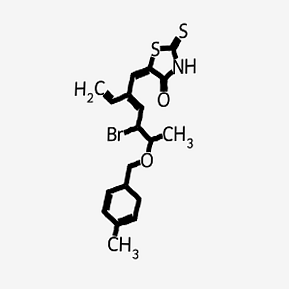 C=CC(=C\C(Br)C(C)OCC1C=CC(C)=CC1)/C=C1/SC(=S)NC1=O